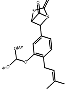 COC(OC)Oc1cc(C2C3SC(=O)N2C3=O)ccc1CC=C(C)C